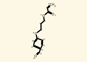 C=CC(=O)OCCCOc1ccc(C=O)cc1